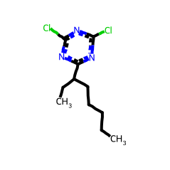 CCCCCC(CC)c1nc(Cl)nc(Cl)n1